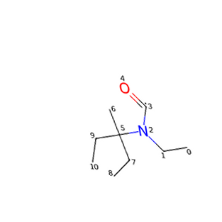 CCN([C]=O)C(C)(CC)CC